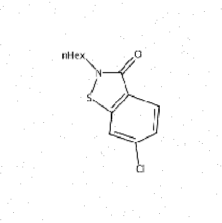 CCCCCCn1sc2cc(Cl)ccc2c1=O